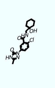 Cc1nn(-c2ccc(Cl)c(C(=O)NCC3(O)CCCCC3)c2)c(=O)[nH]1